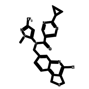 Cn1nc(C(F)(F)F)cc1N(Cc1ccc2c3c(c(Cl)nc2c1)COC3)C(=O)c1cnc(C2CC2)nc1